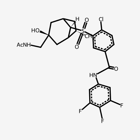 CC(=O)NC[C@]1(O)CC2C[C@H](C)C(C1)[C@@H]2S(=O)(=O)c1cc(C(=O)Nc2cc(F)c(F)c(F)c2)ccc1Cl